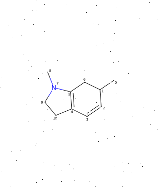 CC1C=CC2=C(C1)N(C)CC2